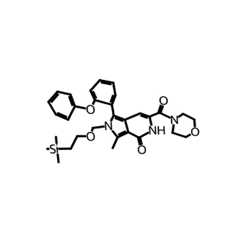 Cc1c2c(=O)[nH]c(C(=O)N3CCOCC3)cc2c(-c2ccccc2Oc2ccccc2)n1COCC[Si](C)(C)C